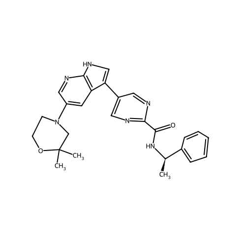 C[C@@H](NC(=O)c1ncc(-c2c[nH]c3ncc(N4CCOC(C)(C)C4)cc23)cn1)c1ccccc1